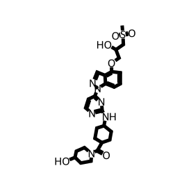 CS(=O)(=O)CC(O)COc1cccc2c1cnn2-c1ccnc(NC2CCC(C(=O)N3CCC(O)CC3)CC2)n1